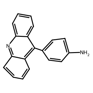 Nc1ccc(-c2c3ccccc3nc3ccccc23)cc1